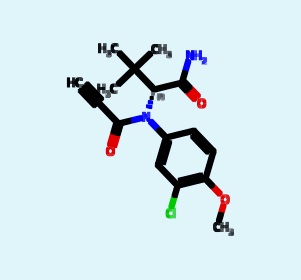 C#CC(=O)N(c1ccc(OC)c(Cl)c1)[C@@H](C(N)=O)C(C)(C)C